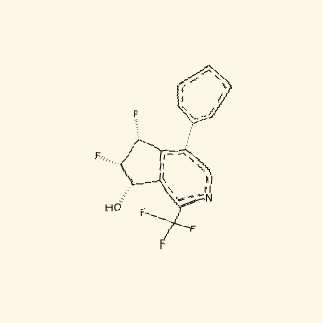 O[C@H]1c2c(C(F)(F)F)ncc(-c3ccccc3)c2[C@@H](F)[C@H]1F